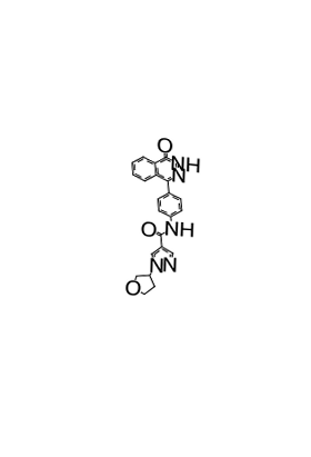 O=C(Nc1ccc(-c2n[nH]c(=O)c3ccccc23)cc1)c1cnn(C2CCOC2)c1